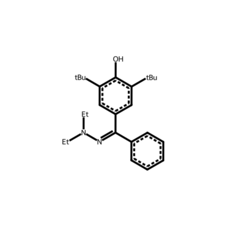 CCN(CC)N=C(c1ccccc1)c1cc(C(C)(C)C)c(O)c(C(C)(C)C)c1